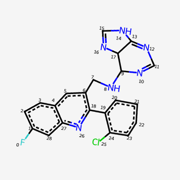 Fc1ccc2cc(CNC3N=CN=C4NC=NC43)c(-c3ccccc3Cl)nc2c1